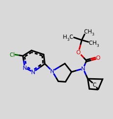 CC(C)(C)OC(=O)N(C1CCN(c2ccc(Cl)nn2)C1)C12CC(C1)C2